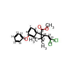 COC(=O)C1(c2cccc(Oc3ccccc3)c2)C(C=C(Cl)Cl)C1(C)C